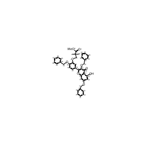 COC(=O)C(C)(C)COc1cc(-c2oc3cc(OCc4ccccc4)cc(O)c3c(=O)c2OCc2ccccc2)ccc1OCc1ccccc1